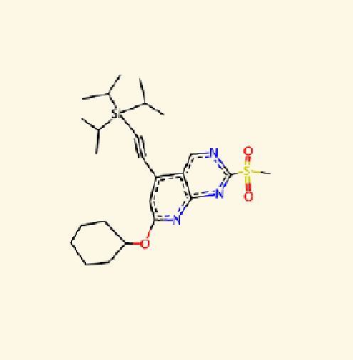 CC(C)[Si](C#Cc1cc(OC2CCCCC2)nc2nc(S(C)(=O)=O)ncc12)(C(C)C)C(C)C